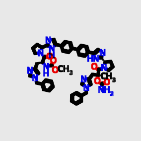 COC(=O)N[C@@H](Cc1cn(Cc2ccccc2)cn1)C(=O)N1CCCC1c1ncc(-c2ccc(-c3ccc(-c4cnc([C@@H]5CCCN5C(=O)[C@](C)(Cc5cn(Cc6ccccc6)cn5)OC(N)=O)[nH]4)cc3)cc2)[nH]1